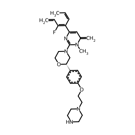 C=C/C(F)=C(\C=C/C)C1=CC(=C)N(C)C(N2CCO[C@@H](c3ccc(OCCN4CCNCC4)cc3)C2)=N1